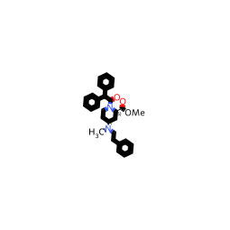 COC(=O)[C@@H]1C[C@H](N(C)CCc2ccccc2)CCN1C(=O)C(c1ccccc1)c1ccccc1